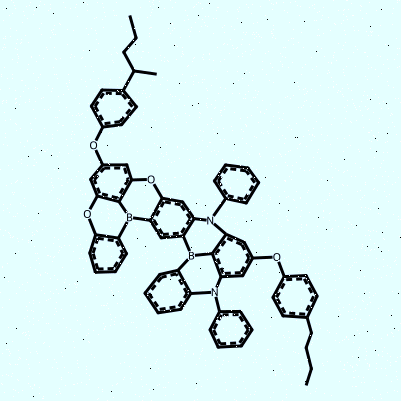 CCCCc1ccc(Oc2cc3c4c(c2)N(c2ccccc2)c2cc5c(cc2B4c2ccccc2N3c2ccccc2)B2c3ccccc3Oc3cc(Oc4ccc(C(C)CCC)cc4)cc(c32)O5)cc1